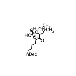 CCCCCCCCCCCCCCCC(=O)C(C[N+](C)(C)C)OP(=O)(O)O